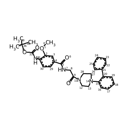 COc1cc(C(=O)NCC(=O)N2CCN(c3ccccc3-c3ccccc3)CC2)ccc1NC(=O)OC(C)(C)C